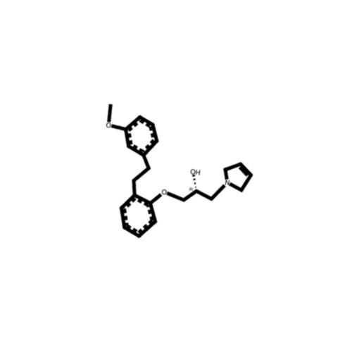 COc1cccc(CCc2ccccc2OC[C@H](O)CN2CC=CC2)c1